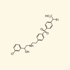 CCC(C(=O)O)c1ccc(S(=O)(=O)c2ccc(CCNCC(O)c3cccc(Cl)c3)cc2)cc1